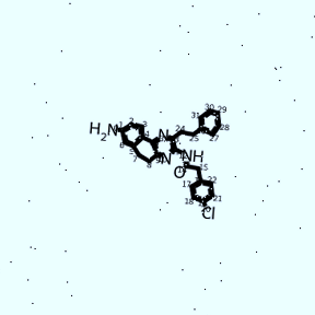 Nc1ccc2c(c1)CCc1nc(NC(=O)Cc3ccc(Cl)cc3)c(CCc3ccccc3)nc1-2